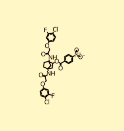 O=C(COc1ccc(Cl)c(F)c1)NC12CCC(NC(=O)COc3ccc(Cl)c(F)c3)(C1)C(OC(=O)c1ccc([N+](=O)[O-])cc1)C2